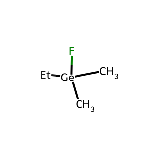 C[CH2][Ge]([CH3])([CH3])[F]